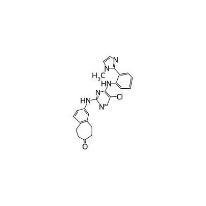 Cn1ccnc1-c1ccccc1Nc1nc(Nc2ccc3c(c2)CCC(=O)CC3)ncc1Cl